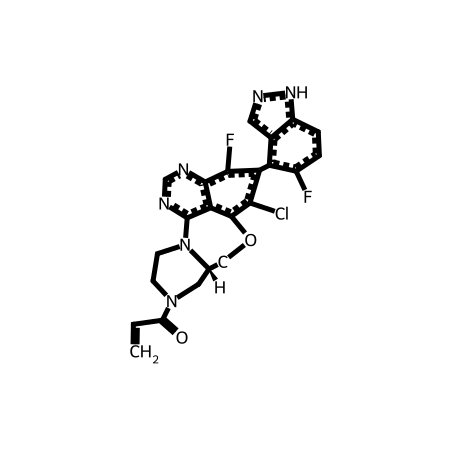 C=CC(=O)N1CCN2c3ncnc4c(F)c(-c5c(F)ccc6[nH]ncc56)c(Cl)c(c34)OC[C@@H]2C1